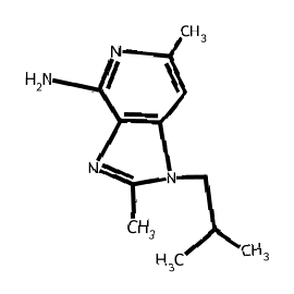 Cc1cc2c(nc(C)n2CC(C)C)c(N)n1